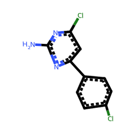 Nc1nc(Cl)cc(-c2ccc(Cl)cc2)n1